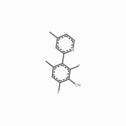 Cc1ccnc(-c2c(C)cc(F)c(C#N)c2F)c1